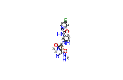 CCNC(=O)C(C#N)=c1sc(=CNc2cccc(NC(=O)CN3CCC(F)CC3)c2)c(=O)n1CC